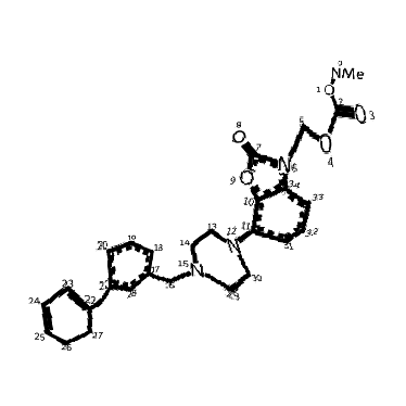 CNOC(=O)OCn1c(=O)oc2c(N3CCN(Cc4cccc(C5=CC=CCC5)c4)CC3)cccc21